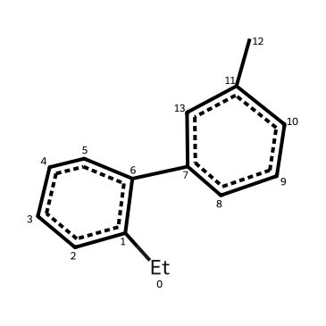 CCc1ccccc1-c1cccc(C)c1